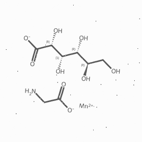 NCC(=O)[O-].O=C([O-])[C@H](O)[C@@H](O)[C@H](O)[C@H](O)CO.[Mn+2]